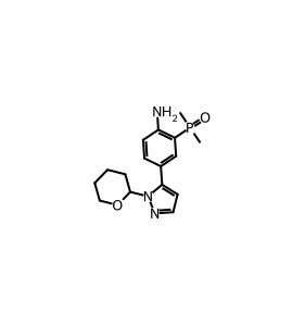 CP(C)(=O)c1cc(-c2ccnn2C2CCCCO2)ccc1N